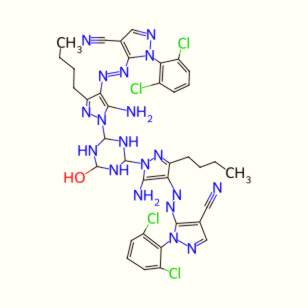 CCCCc1nn(C2NC(O)NC(n3nc(CCCC)c(N=Nc4c(C#N)cnn4-c4c(Cl)cccc4Cl)c3N)N2)c(N)c1N=Nc1c(C#N)cnn1-c1c(Cl)cccc1Cl